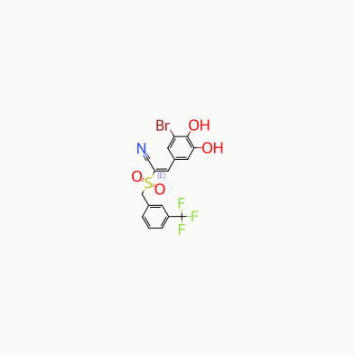 N#C/C(=C\c1cc(O)c(O)c(Br)c1)S(=O)(=O)Cc1cccc(C(F)(F)F)c1